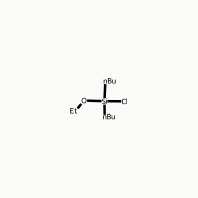 CCCC[Si](Cl)(CCCC)OCC